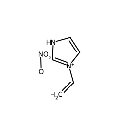 C=C[n+]1cc[nH]c1.O=[N+]([O-])[O-]